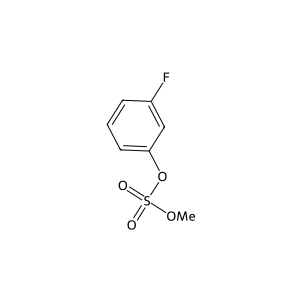 COS(=O)(=O)Oc1cccc(F)c1